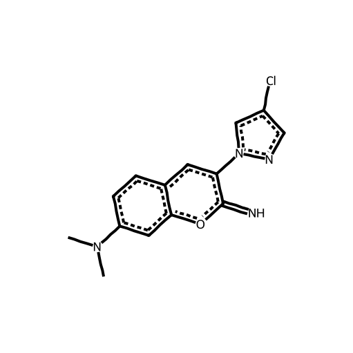 CN(C)c1ccc2cc(-n3cc(Cl)cn3)c(=N)oc2c1